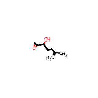 C=C(C)CCC(O)C1CO1